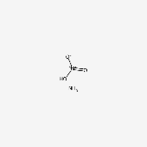 N.O=[15N+]([O-])O